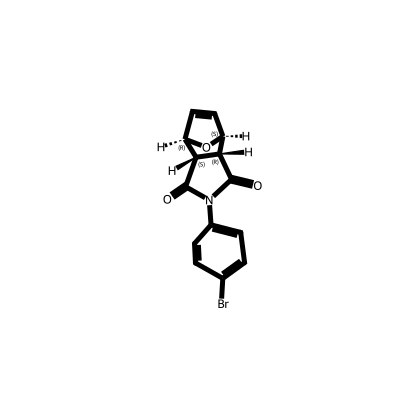 O=C1[C@@H]2[C@H](C(=O)N1c1ccc(Br)cc1)[C@H]1C=C[C@@H]2O1